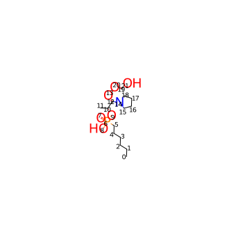 CCCCCCP(=O)(O)OC(C)C(=O)N1CCC[C@H]1C(=O)O